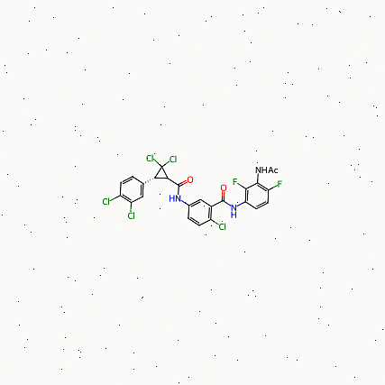 CC(=O)Nc1c(F)ccc(NC(=O)c2cc(NC(=O)C3[C@H](c4ccc(Cl)c(Cl)c4)C3(Cl)Cl)ccc2Cl)c1F